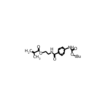 C=C(C)C(=O)OCCNC(=O)c1ccc(NC(=O)OC(C)(C)C)cc1